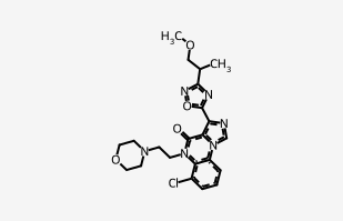 COCC(C)c1noc(-c2ncn3c2c(=O)n(CCN2CCOCC2)c2c(Cl)cccc23)n1